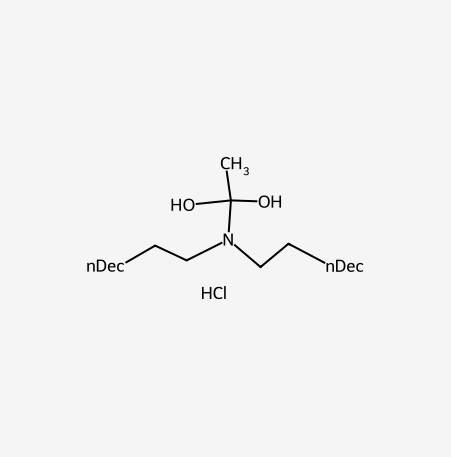 CCCCCCCCCCCCN(CCCCCCCCCCCC)C(C)(O)O.Cl